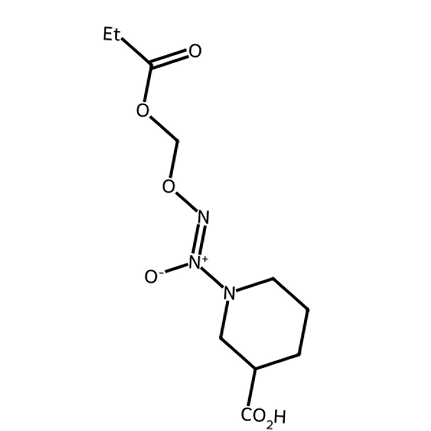 CCC(=O)OCON=[N+]([O-])N1CCCC(C(=O)O)C1